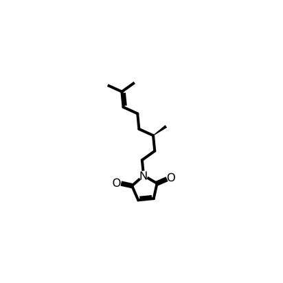 CC(C)=CCC[C@@H](C)CCN1C(=O)C=CC1=O